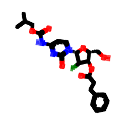 CC(C)COC(=O)Nc1ccn([C@@H]2O[C@H](CO)[C@@H](OC(=O)CCc3ccccc3)C2F)c(=O)n1